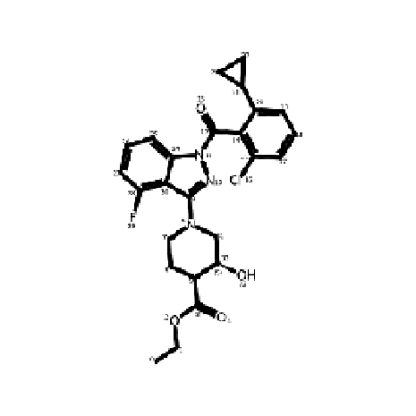 CCOC(=O)C1CCN(c2nn(C(=O)c3c(Cl)cccc3C3CC3)c3cccc(F)c23)C[C@H]1O